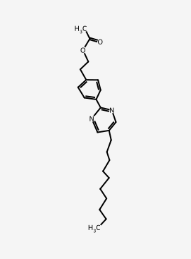 CCCCCCCCCCc1cnc(-c2ccc(CCOC(C)=O)cc2)nc1